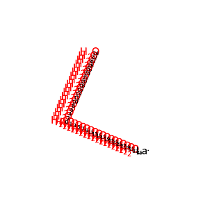 O.O.O.O.O.O.O.O.O.O.O.O.O.O.O.O.O.O.O.O.O.O.O.O.O.O.O.O.O.O.O.O.O.O.O.[La]